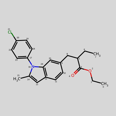 CCOC(=O)C(CC)Cc1ccc2cc(C)n(-c3ccc(Cl)cc3)c2c1